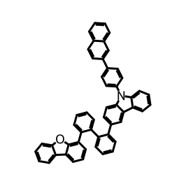 c1ccc(-c2ccccc2-c2cccc3c2oc2ccccc23)c(-c2ccc3c(c2)c2ccccc2n3-c2ccc(-c3ccc4ccccc4c3)cc2)c1